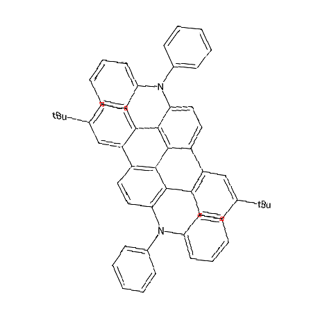 CC(C)(C)c1ccc2c(c1)c1ccc(N(c3ccccc3)c3ccccc3)c3c4ccc(C(C)(C)C)cc4c4ccc(N(c5ccccc5)c5ccccc5)c2c4c13